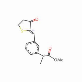 COC(=O)C(C)c1cccc(/C=C2\SCCC2=O)c1